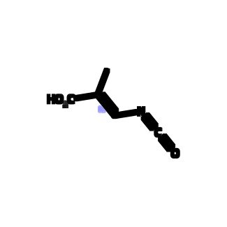 C/C(=C\N=C=O)C(=O)O